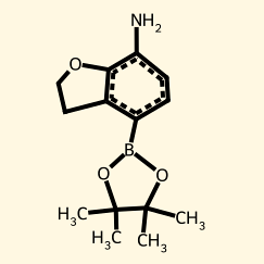 CC1(C)OB(c2ccc(N)c3c2CCO3)OC1(C)C